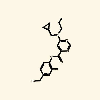 CCCN(CC1CC1)c1cc(C(=O)Nc2ccc(CN)cc2C)ncn1